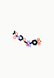 CC(C)OC(=O)N1CCC(OCc2nc(-c3ccc(S(C)(=O)=O)cc3)no2)CC1